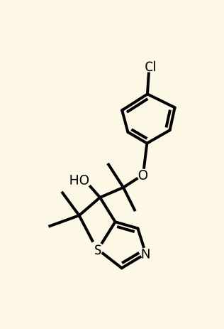 CC(C)(C)C(O)(c1cncs1)C(C)(C)Oc1ccc(Cl)cc1